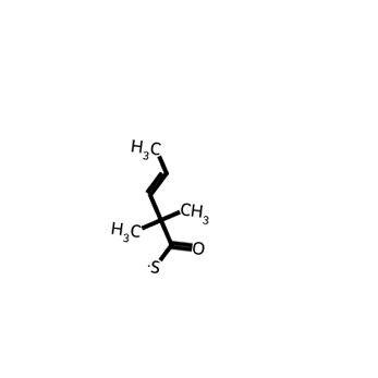 CC=CC(C)(C)C(=O)[S]